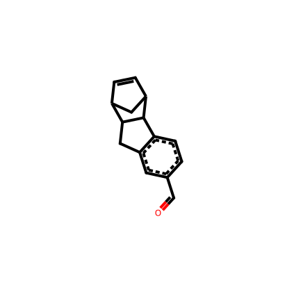 O=Cc1ccc2c(c1)CC1C3C=CC(C3)C21